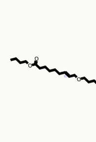 CCCCOC/C=C/CCCCCC(=O)OCCCC